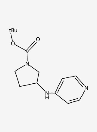 CC(C)(C)OC(=O)N1CCC(Nc2ccncc2)C1